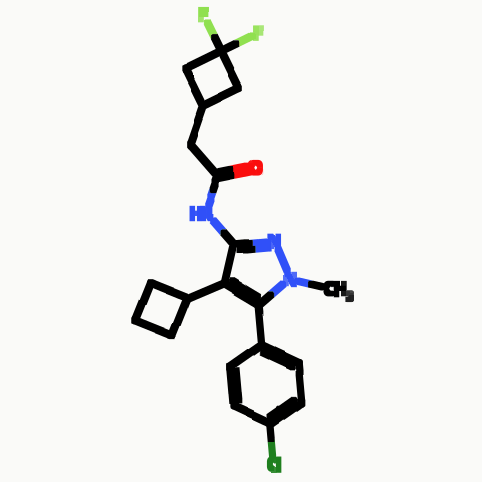 Cn1nc(NC(=O)CC2CC(F)(F)C2)c(C2CCC2)c1-c1ccc(Cl)cc1